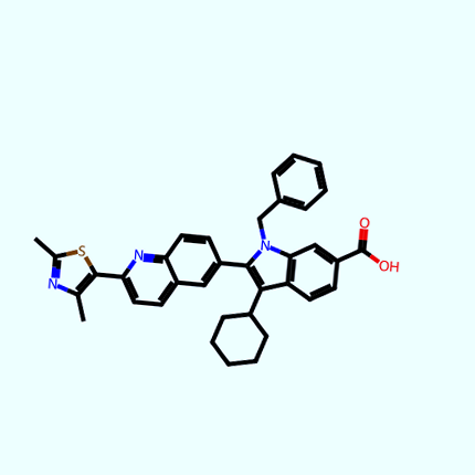 Cc1nc(C)c(-c2ccc3cc(-c4c(C5CCCCC5)c5ccc(C(=O)O)cc5n4Cc4ccccc4)ccc3n2)s1